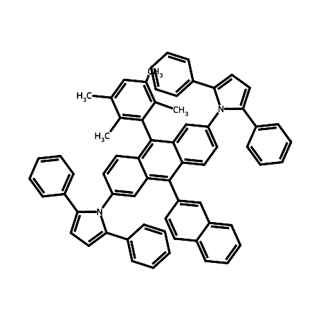 Cc1cc(C)c(C)c(-c2c3ccc(-n4c(-c5ccccc5)ccc4-c4ccccc4)cc3c(-c3ccc4ccccc4c3)c3ccc(-n4c(-c5ccccc5)ccc4-c4ccccc4)cc23)c1C